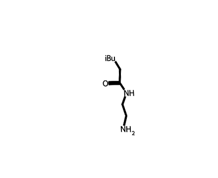 CCC(C)CC(=O)NCCN